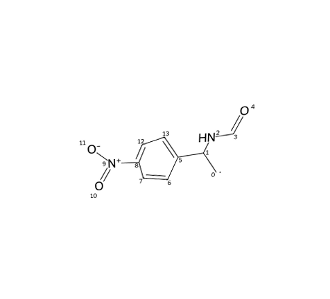 [CH2]C(NC=O)c1ccc([N+](=O)[O-])cc1